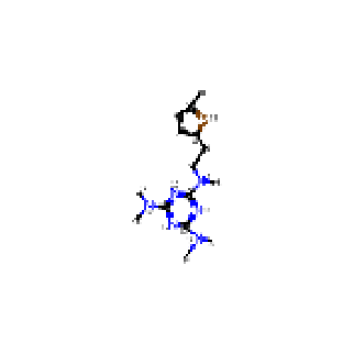 Cc1ccc(CCN(C)c2nc(N(C)C)nc(N(C)C)n2)s1